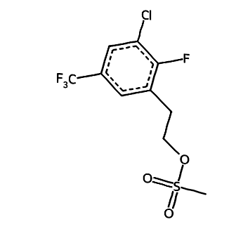 CS(=O)(=O)OCCc1cc(C(F)(F)F)cc(Cl)c1F